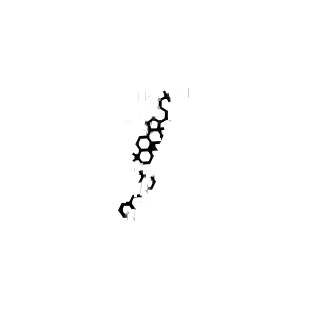 C[C@@H]1CC(C(O)C(C)(C)O)OC2C1C1(C)CCC34CC35CCC(OC3CN(C(=O)Cc6cccnc6)CCO3)C(C)(C)C5CCC4[C@]1(C)[C@H]2O